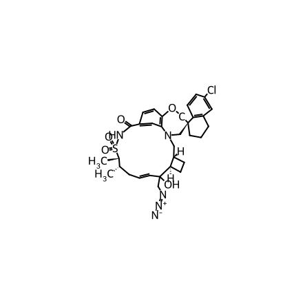 C[C@@H]1[C@@H](C)C/C=C/C(O)(CN=[N+]=[N-])[C@@H]2CC[C@H]2CN2C[C@@]3(CCCc4cc(Cl)ccc43)COc3ccc(cc32)C(=O)NS1(=O)=O